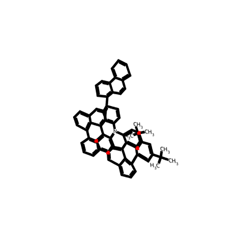 CC(C)(C)c1cc(-c2cccc3cccc(-c4ccccc4N(c4ccc(-c5cccc6c5ccc5ccccc56)cc4)c4ccccc4-c4cccc5cccc(-c6ccccc6)c45)c23)cc(C(C)(C)C)c1